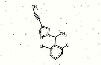 CC#Cc1cnn(C(C)c2c(Cl)cccc2Cl)c1